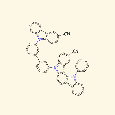 N#Cc1ccc2c(c1)c1ccccc1n2-c1cccc(-c2cccc(-n3c4ccc(C#N)cc4c4c3ccc3c5ccccc5n(-c5ccccc5)c34)c2)c1